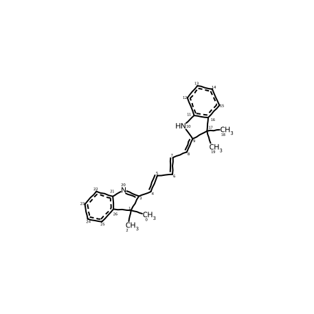 CC1(C)C(/C=C/C=C/C=C2\Nc3ccccc3C2(C)C)=Nc2ccccc21